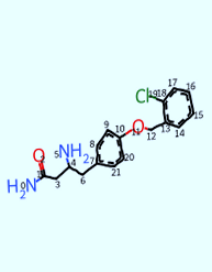 NC(=O)CC(N)Cc1ccc(OCc2ccccc2Cl)cc1